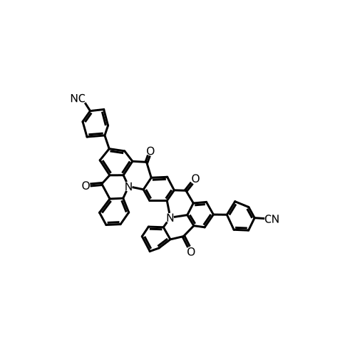 N#Cc1ccc(-c2cc3c(=O)c4ccccc4n4c5cc6c(cc5c(=O)c(c2)c34)c(=O)c2cc(-c3ccc(C#N)cc3)cc3c(=O)c4ccccc4n6c32)cc1